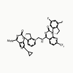 CNC1=NC(=O)[C@]2(CCc3c2ccc[n+]3CNC2=NC(=O)[C@]3(CCc4c(F)cc(F)cc43)c3nc(C(F)(F)F)ccc32)c2cc(C3CC3)ncc21